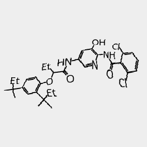 CCC(Oc1ccc(C(C)(C)CC)cc1C(C)(C)CC)C(=O)Nc1cnc(NC(=O)c2c(Cl)cccc2Cl)c(O)c1